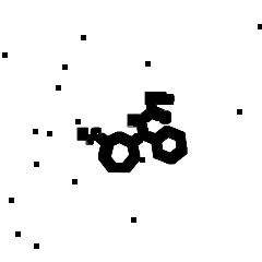 CNC(=O)NN(C1CCCCC1)C1CCCC=C(C)C1